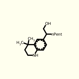 CCCCCC(CO)c1ccc2c(c1)C(C)(C)CCN2